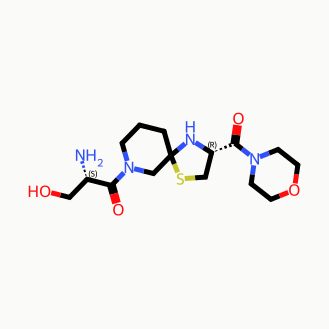 N[C@@H](CO)C(=O)N1CCCC2(C1)N[C@H](C(=O)N1CCOCC1)CS2